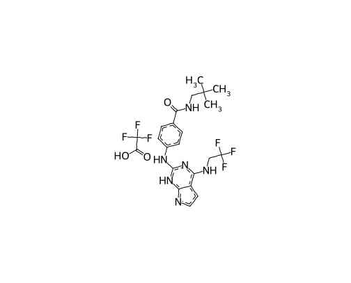 CC(C)(C)CNC(=O)c1ccc(Nc2nc(NCC(F)(F)F)c3ccnc-3[nH]2)cc1.O=C(O)C(F)(F)F